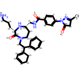 CC1=NN(c2ccc(C(=O)NC[C@@H]3CCN(CC(C4=CC=CCC4)c4ccccc4)C(=O)[C@H](CCCN)N3)cc2)C(=O)C1